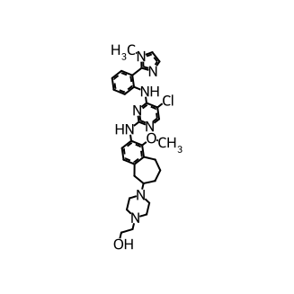 COc1c(Nc2ncc(Cl)c(Nc3ccccc3-c3nccn3C)n2)ccc2c1CCCC(N1CCN(CCO)CC1)C2